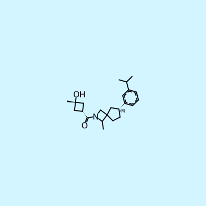 CC(C)c1cccc([C@@H]2CCC3(C2)CN(C(=O)[C@H]2C[C@@](C)(O)C2)C3C)c1